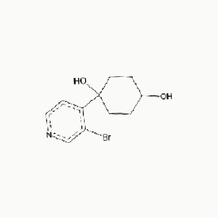 OC1CCC(O)(c2ccncc2Br)CC1